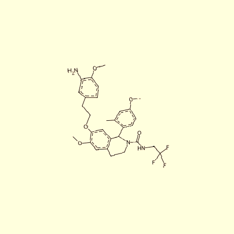 COc1ccc(C2c3cc(OCCc4ccc(OC)c(N)c4)c(OC)cc3CCN2C(=O)NCC(F)(F)F)c(C)c1